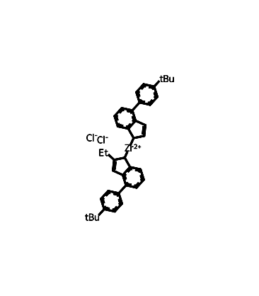 CCC1=Cc2c(-c3ccc(C(C)(C)C)cc3)cccc2[CH]1[Zr+2][CH]1C=Cc2c(-c3ccc(C(C)(C)C)cc3)cccc21.[Cl-].[Cl-]